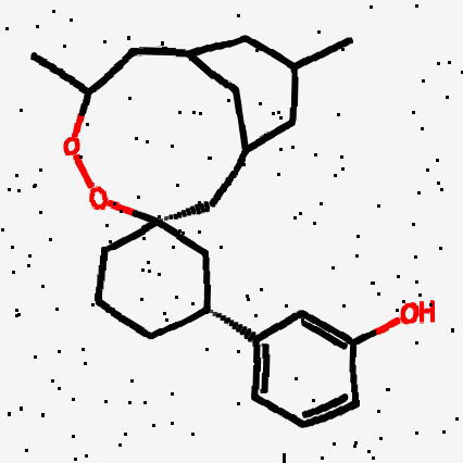 CC1CC2CC(C1)C[C@]1(CCC[C@@H](c3cccc(O)c3)C1)OOC(C)C2